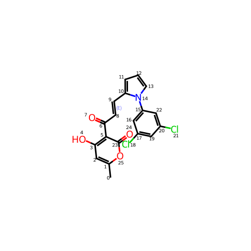 Cc1cc(O)c(C(=O)/C=C/c2cccn2-c2cc(Cl)cc(Cl)c2)c(=O)o1